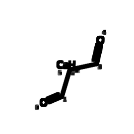 O=CCC=O.[CaH2]